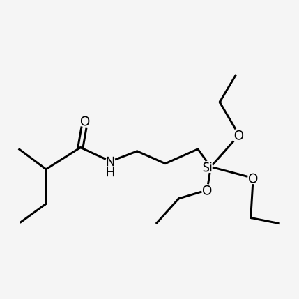 CCO[Si](CCCNC(=O)C(C)CC)(OCC)OCC